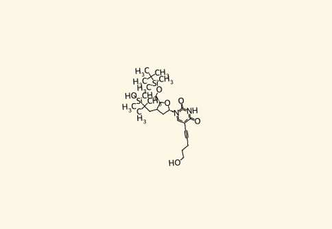 CC(C)(CC1C[C@H](n2cc(C#CCCCO)c(=O)[nH]c2=O)O[C@@H]1CO[Si](C)(C)C(C)(C)C)[Si](C)(C)O